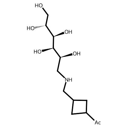 CC(=O)C1CC(CNC[C@H](O)[C@@H](O)[C@H](O)[C@H](O)CO)C1